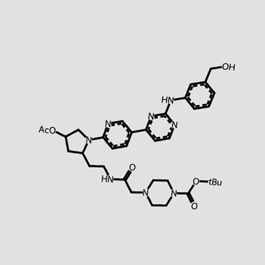 CC(=O)OC1CC(CCNC(=O)CN2CCN(C(=O)OC(C)(C)C)CC2)N(c2ccc(-c3ccnc(Nc4cccc(CO)c4)n3)cn2)C1